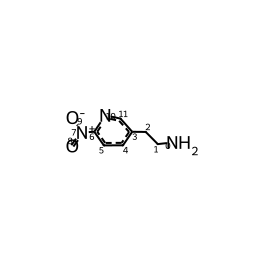 NCCc1ccc([N+](=O)[O-])nc1